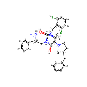 Cc1c(N2CCC(Cc3ccccc3)C2)c(=O)n(C[C@@H](N)c2ccccc2)c(=O)n1Cc1c(F)cccc1F